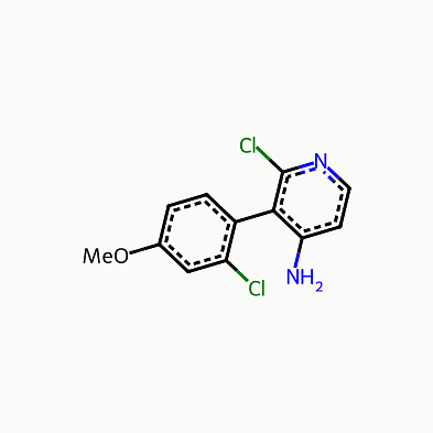 COc1ccc(-c2c(N)ccnc2Cl)c(Cl)c1